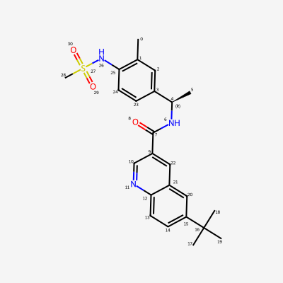 Cc1cc([C@@H](C)NC(=O)c2cnc3ccc(C(C)(C)C)cc3c2)ccc1NS(C)(=O)=O